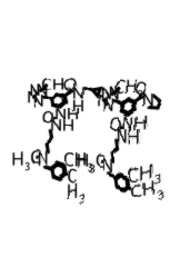 Cc1ccc(CN(C)CCCCNC(=O)Nc2cc(C(=O)N3CCCC3)cc(-c3nnnn3C)c2)cc1C.Cc1ccc(CN(C)CCCCNC(=O)Nc2cc(C(=O)NCC3CC3)cc(-c3nnnn3C)c2)cc1C